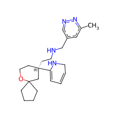 Cc1cc(CNCC[C@@]2(C3=CC=CCN3)CCOC3(CCCC3)C2)cnn1